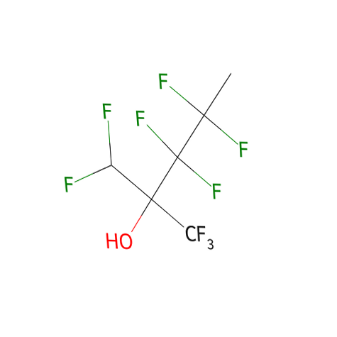 CC(F)(F)C(F)(F)C(O)(C(F)F)C(F)(F)F